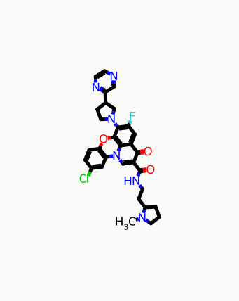 CN1CCCC1CCNC(=O)c1cn2c3c(c(N4CCC(c5cnccn5)C4)c(F)cc3c1=O)Oc1ccc(Cl)cc1-2